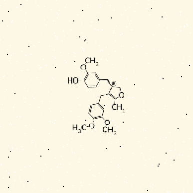 COc1cc(C[C@H]2COC(C)=C2Cc2ccc(OC)c(OC)c2)ccc1O